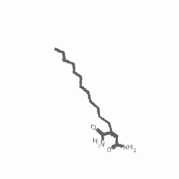 CCCCCCCCCCCCC(=CC(N)=O)C(N)=O